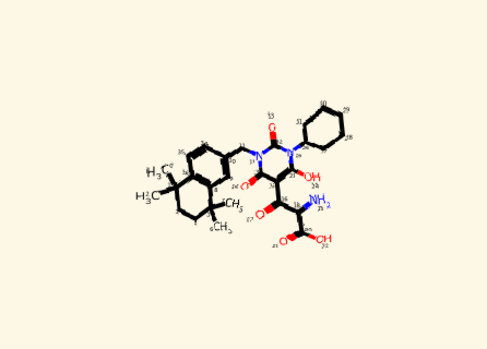 CC1(C)CCC(C)(C)c2cc(Cn3c(=O)c(C(=O)C(N)C(=O)O)c(O)n(C4CCCCC4)c3=O)ccc21